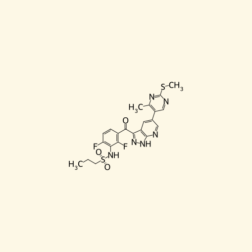 CCCS(=O)(=O)Nc1c(F)ccc(C(=O)c2n[nH]c3ncc(-c4cnc(SC)nc4C)cc23)c1F